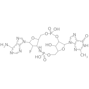 Cc1nc2c(ncn2C2OC3COP(=O)(O)NC4C(COP(=O)(O)OC2C3O)OC(n2cnc3c(N)ncnc32)C4F)c(=O)[nH]1